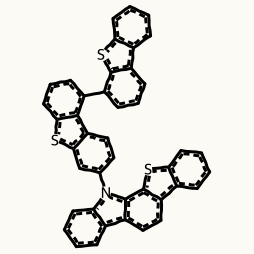 c1ccc2c(c1)sc1c(-c3cccc4sc5cc(-n6c7ccccc7c7ccc8c9ccccc9sc8c76)ccc5c34)cccc12